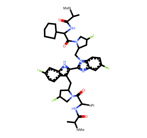 CCCC(NC(=O)C(C)NC)C(=O)N1CC(F)CC1Cc1c(-c2nc3cc(F)ccc3n2CC2CC(F)CN2C(=O)C(NC(=O)C(C)NC)C2CCCCC2)[nH]c2cc(F)ccc12